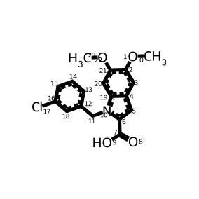 COc1cc2cc(C(=O)O)n(Cc3cccc(Cl)c3)c2cc1OC